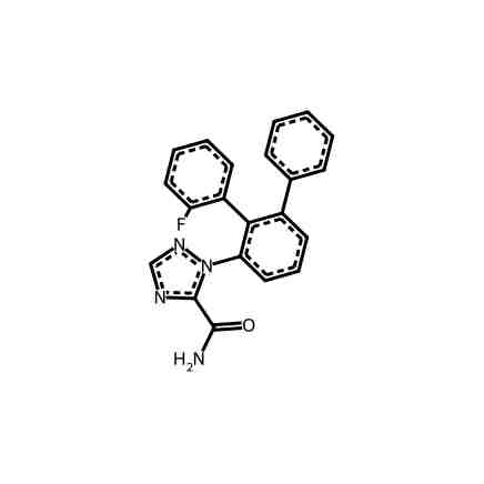 NC(=O)c1ncnn1-c1cccc(-c2ccccc2)c1-c1ccccc1F